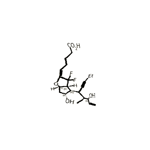 C=C[C@H](O)C(C)C(C#CCC)[C@@H]1[C@@H]2[C@H](C[C@H]1O)OC(=CCCCC(=O)O)C2(F)F